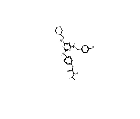 CC(C)NC(=O)Cc1ccc(Nc2nc(NCc3ccc(F)cc3)nc(NCC3CCCCC3)n2)cc1